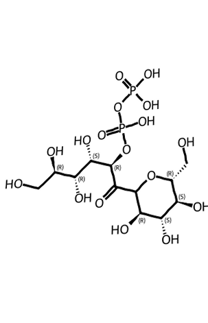 O=C(C1O[C@H](CO)[C@@H](O)[C@H](O)[C@H]1O)[C@H](OP(=O)(O)OP(=O)(O)O)[C@@H](O)[C@H](O)[C@H](O)CO